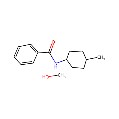 CC1CCC(NC(=O)c2ccccc2)CC1.CO